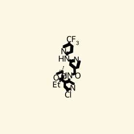 CC[C@@]1(c2cc(Cl)ncc2NC(=O)c2ccnc(Nc3ccc(C(F)(F)F)cn3)c2)OC[C@H](C)O1